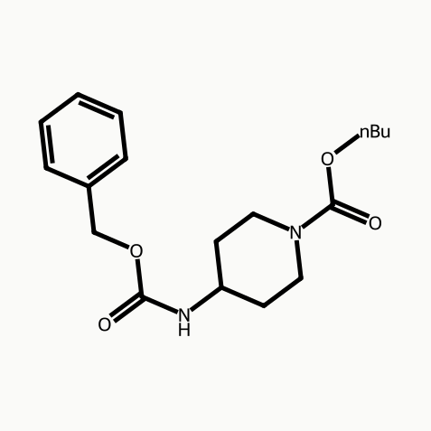 CCCCOC(=O)N1CCC(NC(=O)OCc2ccccc2)CC1